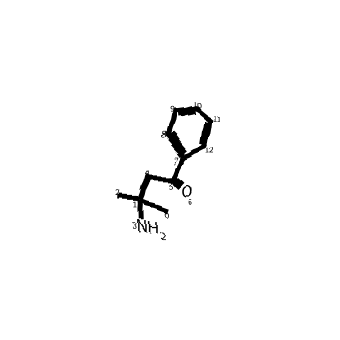 CC(C)(N)CC(=O)c1ccccc1